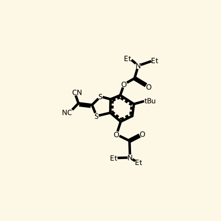 CCN(CC)C(=O)Oc1cc(C(C)(C)C)c(OC(=O)N(CC)CC)c2c1SC(=C(C#N)C#N)S2